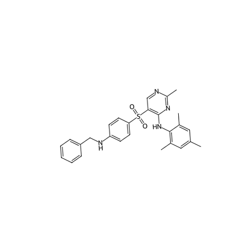 Cc1cc(C)c(Nc2nc(C)ncc2S(=O)(=O)c2ccc(NCc3ccccc3)cc2)c(C)c1